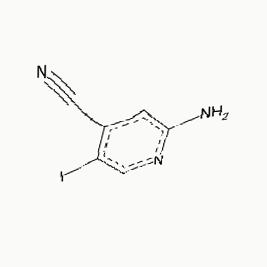 N#Cc1cc(N)ncc1I